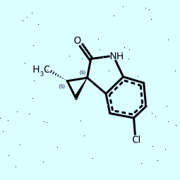 C[C@H]1C[C@]12C(=O)Nc1ccc(Cl)cc12